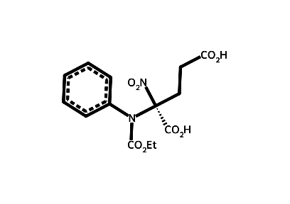 CCOC(=O)N(c1ccccc1)[C@@](CCC(=O)O)(C(=O)O)[N+](=O)[O-]